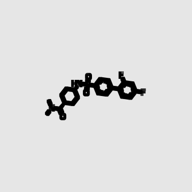 CN(C)C(=O)[C@H]1CC[C@@H](NS(=O)(=O)c2ccc(-c3ccc(F)cc3F)cc2)CC1